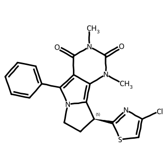 Cn1c(=O)c2c(-c3ccccc3)n3c(c2n(C)c1=O)[C@@H](c1nc(Cl)cs1)CC3